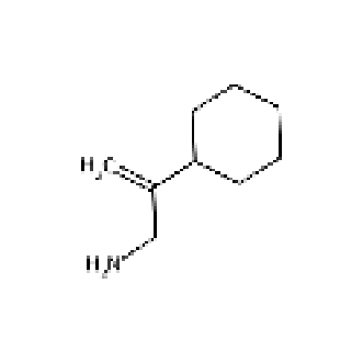 C=C(CN)C1CCCCC1